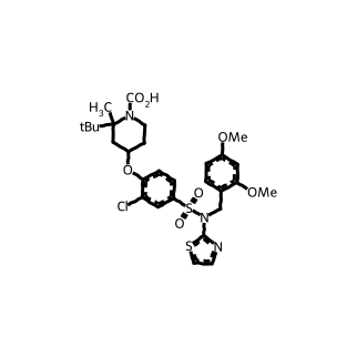 COc1ccc(CN(c2nccs2)S(=O)(=O)c2ccc(OC3CCN(C(=O)O)C(C)(C(C)(C)C)C3)c(Cl)c2)c(OC)c1